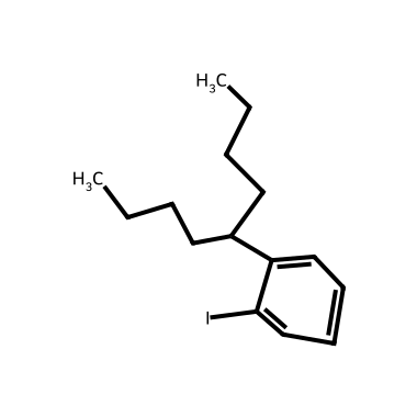 CCCCC(CCCC)c1ccccc1I